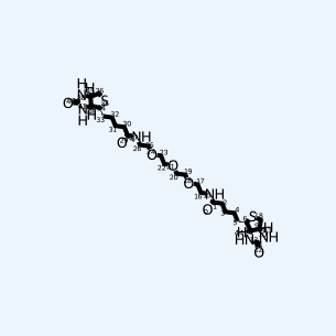 O=C(CCCC[C@@H]1SC[C@@H]2NC(=O)N[C@@H]21)NCCOCCOCCOCCNC(=O)CCCC[C@H]1SC[C@H]2NC(=O)N[C@H]21